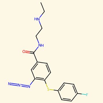 CCNCCNC(=O)c1ccc(Sc2ccc(F)cc2)c(N=[N+]=[N-])c1